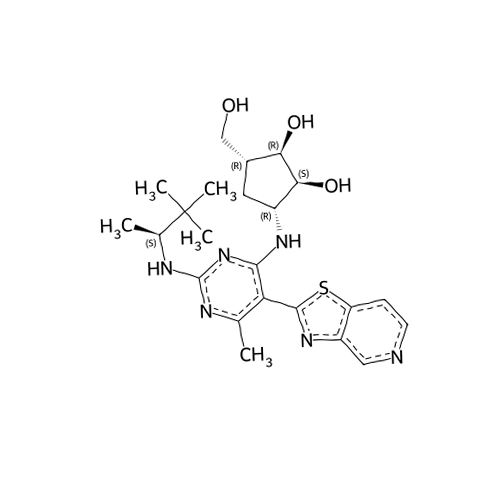 Cc1nc(N[C@@H](C)C(C)(C)C)nc(N[C@@H]2C[C@H](CO)[C@@H](O)[C@H]2O)c1-c1nc2cnccc2s1